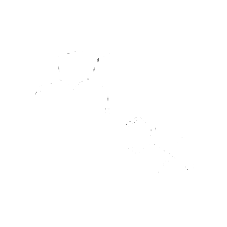 CN1CCN(C)[C@H](COc2ccc(S(C)(=O)=O)cc2)C1